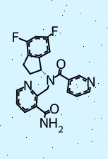 NC(=O)c1cccnc1CN(C(=O)c1cccnc1)[C@@H]1CCc2c(F)cc(F)cc21